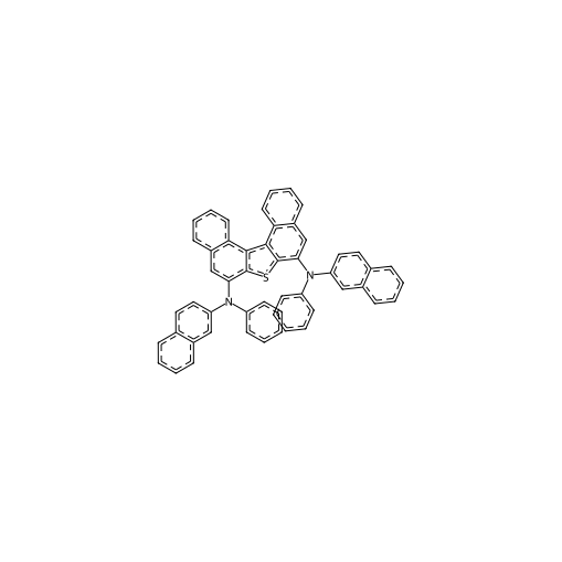 c1ccc(N(c2ccc3ccccc3c2)c2cc3ccccc3c3c2sc2c(N(c4ccccc4)c4ccc5ccccc5c4)cc4ccccc4c23)cc1